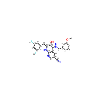 COc1cccc(CNC[C@@H](O)[C@H](Cc2cc(F)cc(F)c2)Nc2ccc(C#N)cn2)c1